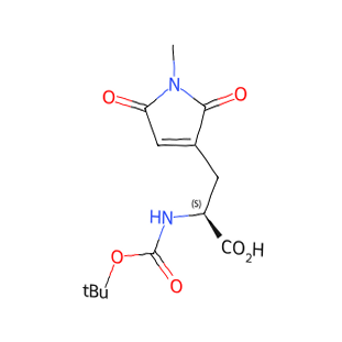 CN1C(=O)C=C(C[C@H](NC(=O)OC(C)(C)C)C(=O)O)C1=O